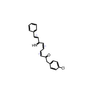 N=C(/C=C\C=C/C(=O)Cc1ccc(Cl)cc1)/C=C/c1ccccc1